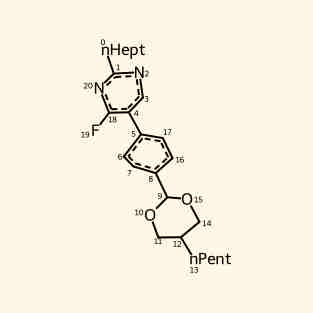 CCCCCCCc1ncc(-c2ccc(C3OCC(CCCCC)CO3)cc2)c(F)n1